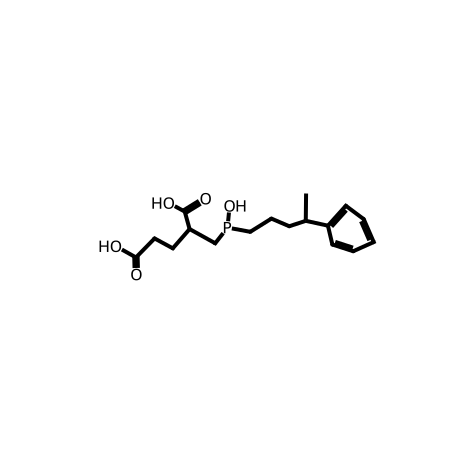 CC(CCCP(O)CC(CCC(=O)O)C(=O)O)c1ccccc1